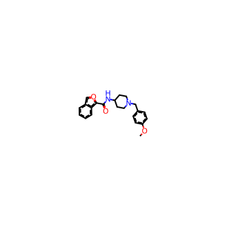 COc1ccc(CN2CCC(NC(=O)c3occ4ccccc34)CC2)cc1